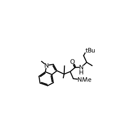 CNCC(C(=O)NC(C)CC(C)(C)C)C(C)(C)c1cn(C)c2ccccc12